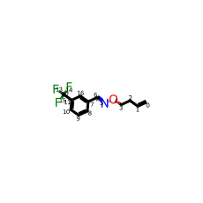 C=CCCON=[C]c1cccc(C(F)(F)F)c1